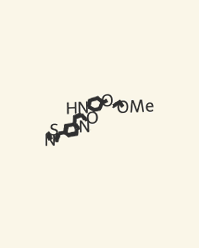 COCCOC1CCC(Nc2cc3cc(-c4cncs4)ccc3n(C)c2=O)CC1